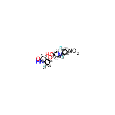 O=C1CCc2c(OCC3(O)CCN(c4c(F)cc([N+](=O)[O-])cc4F)CC3)ccc(F)c2N1